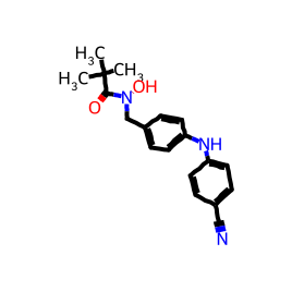 CC(C)(C)C(=O)N(O)Cc1ccc(Nc2ccc(C#N)cc2)cc1